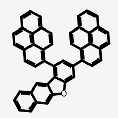 c1ccc2cc3c(cc2c1)oc1cc(-c2ccc4ccc5cccc6ccc2c4c56)cc(-c2ccc4ccc5cccc6ccc2c4c56)c13